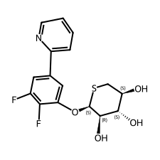 O[C@@H]1[C@@H](O)[C@@H](Oc2cc(-c3ccccn3)cc(F)c2F)SC[C@H]1O